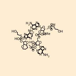 COC1[C@@H](COP(=O)(O)SCCO)O[C@@H](n2cnc3c(N)ncnc32)[C@H]1OP(=O)(O)OC[C@H]1O[C@@H](n2cnc3c(N)ncnc32)[C@@H](OP(=O)(O)OC[C@]23CCCOC2[C@H](OP(=O)(O)SCCO)[C@H](n2cnc4c(N)ncnc42)O3)C1O